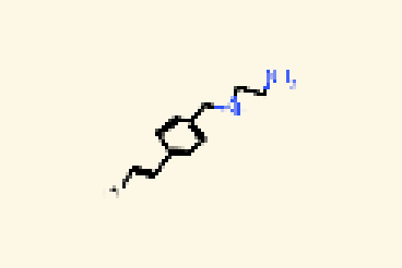 CC(C)/C=C/c1ccc(CNCCN)cc1